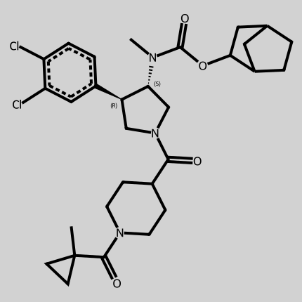 CN(C(=O)OC1CC2CCC1C2)[C@@H]1CN(C(=O)C2CCN(C(=O)C3(C)CC3)CC2)C[C@H]1c1ccc(Cl)c(Cl)c1